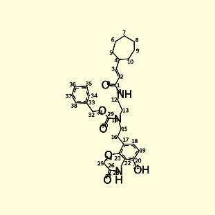 O=C(C=CC1CCCCCC1)NCCN(CCc1ccc(O)c2c1OCC(=O)N2)C(=O)OCc1ccccc1